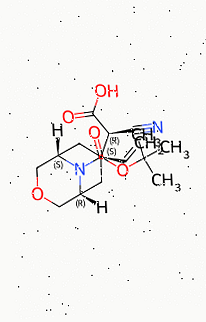 C=C[C@]1([C@H](C#N)C(=O)O)C[C@H]2COC[C@@H](C1)N2C(=O)OC(C)(C)C